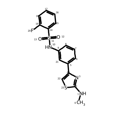 CNc1nc(-c2cccc(NS(=O)(=O)c3ccccc3F)c2)cs1